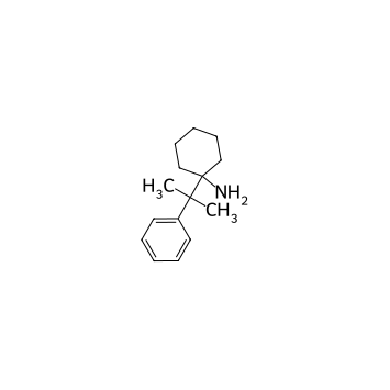 CC(C)(c1ccccc1)C1(N)CCCCC1